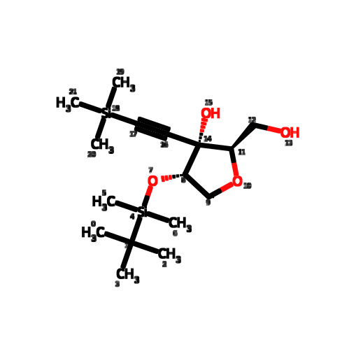 CC(C)(C)[Si](C)(C)O[C@H]1[CH]O[C@H](CO)[C@]1(O)C#C[Si](C)(C)C